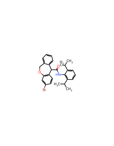 CC(C)c1cccc(C(C)C)c1NC(=O)C1c2ccccc2COc2cc(Br)ccc21